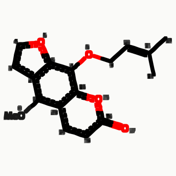 COc1c2ccoc2c(OCC=C(C)C)c2oc(=O)ccc12